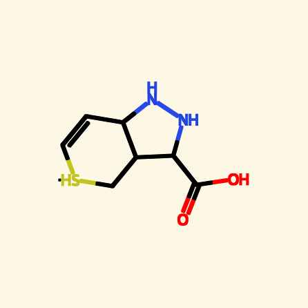 O=C(O)C1NNC2C=C[SH]CC21